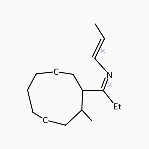 C/C=C/N=C(/CC)C1CCCCCCCC1C